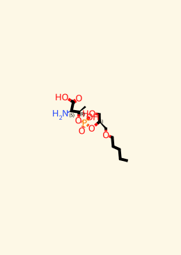 CCCCCOC[C@H](CO)OP(=O)(O)O[C@H](C)[C@H](N)C(=O)O